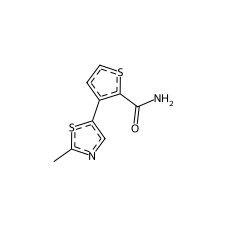 Cc1ncc(-c2ccsc2C(N)=O)s1